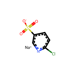 O=S(=O)([O-])c1ccc(Cl)nc1.[Na+]